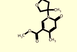 COC(=O)c1cn(C2(C)CCOC2)c(=O)cc1C